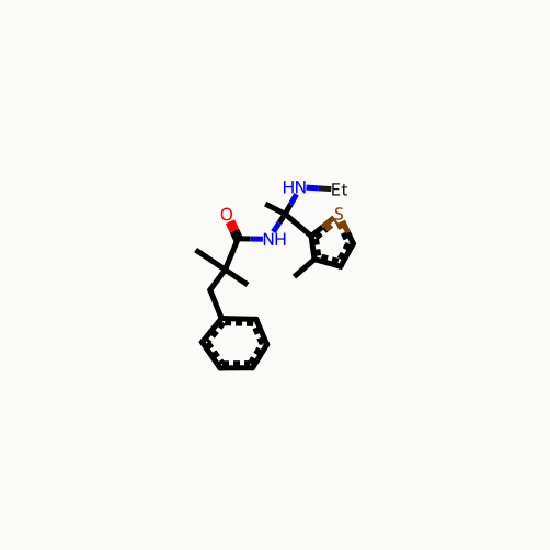 CCNC(C)(NC(=O)C(C)(C)Cc1ccccc1)c1sccc1C